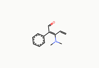 C=CC(=C(C=O)c1ccccc1)N(C)C